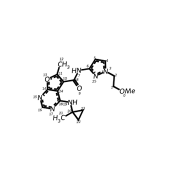 COCCn1ccc(NC(=O)c2c(C)oc3ncnc(NC4(C)CC4)c23)n1